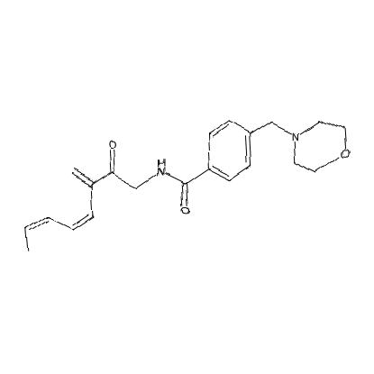 C=C(/C=C\C=C/C)C(=O)CNC(=O)c1ccc(CN2CCOCC2)cc1